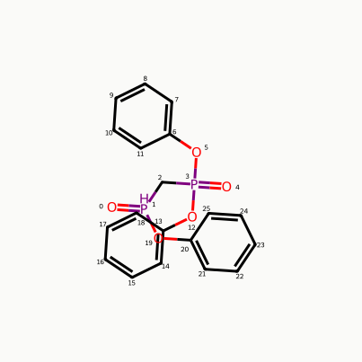 O=[PH](CP(=O)(Oc1ccccc1)Oc1ccccc1)Oc1ccccc1